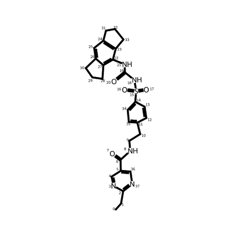 CCc1ncc(C(=O)NCCc2ccc(S(=O)(=O)NC(=O)Nc3c4c(cc5c3CCC5)CCC4)cc2)cn1